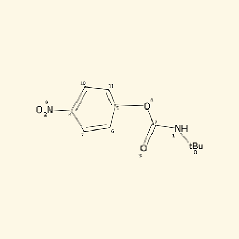 CC(C)(C)NC(=O)Oc1ccc([N+](=O)[O-])cc1